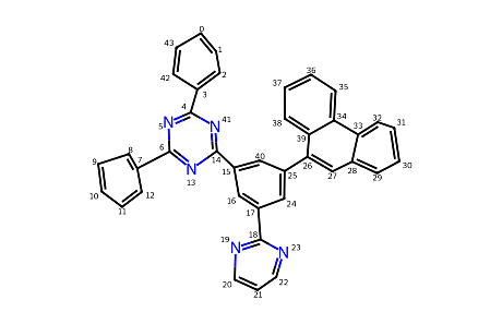 c1ccc(-c2nc(-c3ccccc3)nc(-c3cc(-c4ncccn4)cc(-c4cc5ccccc5c5ccccc45)c3)n2)cc1